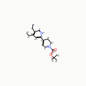 CCc1cnc(C2=CCN(C(=O)OC(C)(C)C)CC2)cc1CC